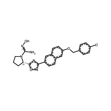 N/C(=N\O)N1CCC[C@H]1c1nc(-c2ccc3cc(OCc4ccc(Cl)cc4)ccc3c2)no1